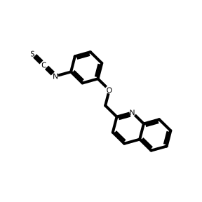 S=C=Nc1cccc(OCc2ccc3ccccc3n2)c1